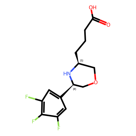 O=C(O)CCC[C@H]1COC[C@@H](c2cc(F)c(F)c(F)c2)N1